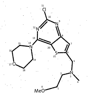 COCCN(C)Cc1cc2nc(Cl)nc(N3CCOCC3)c2s1